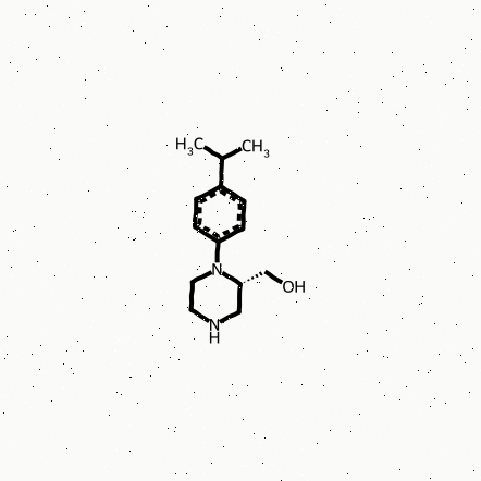 CC(C)c1ccc(N2CCNC[C@H]2CO)cc1